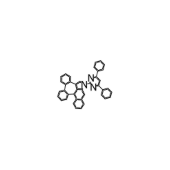 c1ccc(-c2cc(-c3ccccc3)nc(-n3cc4c5c(c6ccccc6cc53)-c3ccccc3-c3ccccc3-4)n2)cc1